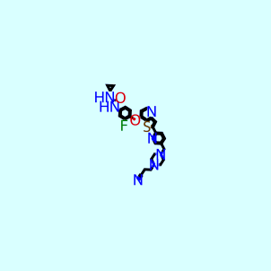 N#CCCN1CCN(Cc2ccc(-c3cc4nccc(Oc5ccc(NC(=O)NC6CC6)cc5F)c4s3)nc2)CC1